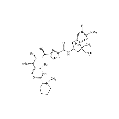 CCCCCCN(C(=O)[C@@H](NC(=O)[C@H]1CCCCN1C)[C@@H](C)CC)[C@H](C[C@@H](O)c1nc(C(=O)N[C@@H](Cc2ccc(NC)c(F)c2)CC(C)(C)C(=O)O)cs1)C(C)C